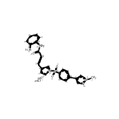 Cl.Cl.Cn1cc(-c2ccc(S(=O)(=O)n3ccc(C=CC(=O)Nc4ccccc4N)c3)cc2)cn1